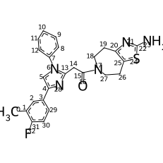 Cc1cc(-c2cn(-c3ccccc3)c(CC(=O)N3CCc4nc(N)sc4CC3)n2)ccc1F